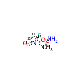 CCC(OC(N)=O)c1nc(C=O)ccc1F